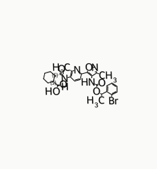 Cc1nc(-c2onc(C)c2NC(=O)OC(C)c2ccccc2Br)ccc1NC(=O)[C@H]1CCCC[C@@H]1C(=O)O